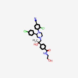 C[C@@](O)(CN1CCN(c2ccc(C#N)cc2Cl)C(c2ccc(Cl)cc2)C1)c1ccc(C(=O)NCCO)cc1